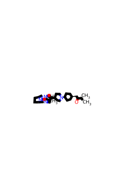 CC(C)C(=O)C[C@H]1CC[C@@H](N2CCC(c3cnc(N4C5CCC4CN(C(C)C)C5)nc3)CC2)CC1